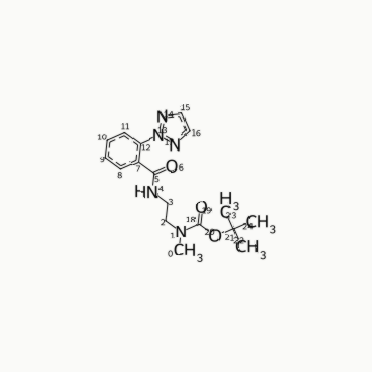 CN(CCNC(=O)c1ccccc1-n1nccn1)C(=O)OC(C)(C)C